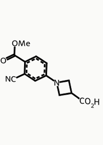 COC(=O)c1ccc(N2CC(C(=O)O)C2)cc1C#N